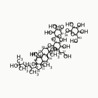 C[C@H](CCCC(C)(C)O)C1CC[C@@]2(C)C3CC=C4C(CC[C@H](O[C@@H]5O[C@H](CCO)[C@@H](O)[C@H](O)[C@H]5O[C@H]5O[C@@H](CO[C@@H]6O[C@H](CO)[C@@H](O)[C@H](O)[C@H]6O)[C@H](O)[C@@H](O)[C@@H]5O)C4(C)C)[C@]3(C)[C@H](O)C[C@]12C